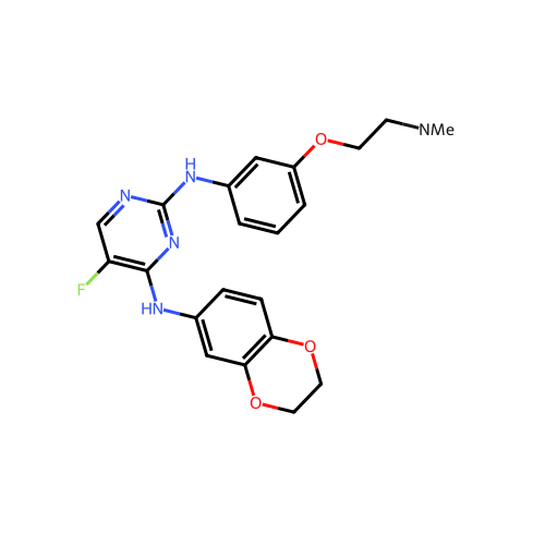 CNCCOc1cccc(Nc2ncc(F)c(Nc3ccc4c(c3)OCCO4)n2)c1